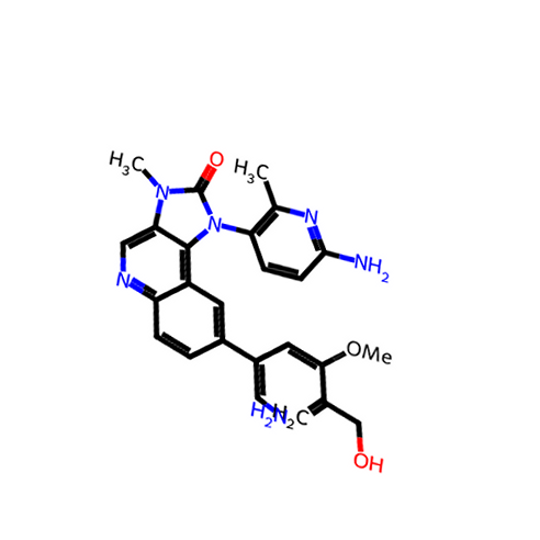 C=C(CO)/C(=C\C(=C/N)c1ccc2ncc3c(c2c1)n(-c1ccc(N)nc1C)c(=O)n3C)OC